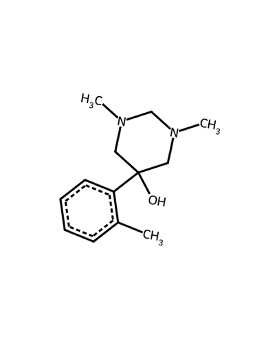 Cc1ccccc1C1(O)CN(C)CN(C)C1